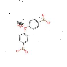 O.O=S([O-])c1ccc(Oc2ccc(S(=O)[O-])cc2)cc1.[Na+].[Na+]